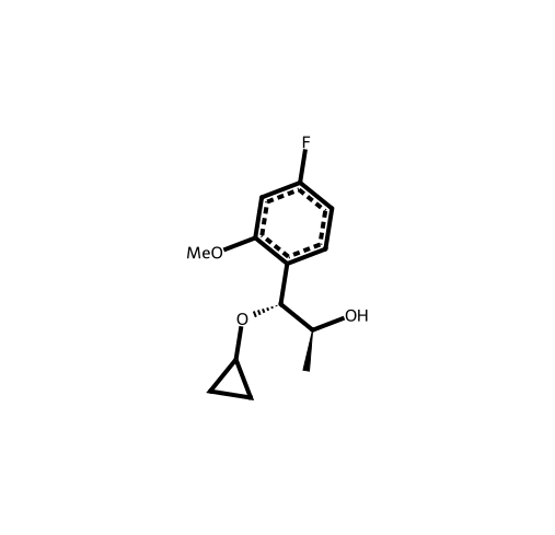 COc1cc(F)ccc1[C@@H](OC1CC1)[C@H](C)O